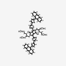 CCCCCCCCCCCCC(CCCCCCCCCC)CN1C(=O)C2=C(c3ncc(-c4ccc(-c5c6ccccc6cc6ccccc56)s4)s3)N(CC(CCCCCCCCCC)CCCCCCCCCCCC)C(=O)C2=C1c1ncc(-c2ccc(-c3c4ccccc4cc4ccccc34)s2)s1